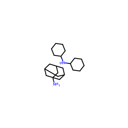 C1CCC(NC2CCCCC2)CC1.NC12CC3CC(CC(C3)C1)C2